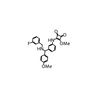 COc1ccc(C(NCc2cccc(F)c2)c2cccc(Nc3c(OC)c(=O)c3=O)c2)cc1